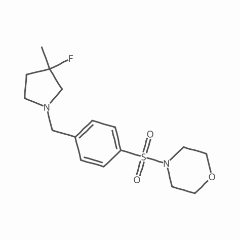 CC1(F)CCN(Cc2ccc(S(=O)(=O)N3CCOCC3)cc2)C1